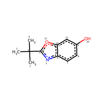 CC(C)(C)c1nc2ccc(O)cc2o1